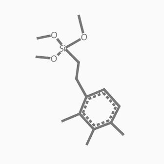 CO[Si](CCc1ccc(C)c(C)c1C)(OC)OC